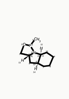 CP1OC[C@H]2C[C@@H]3CCCC[C@@H]3N21